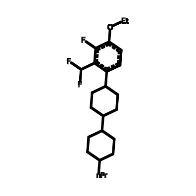 CCCC1CCC(C2CCC(c3ccc(OCC)c(F)c3C(F)F)CC2)CC1